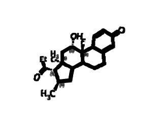 CCC(=O)[C@H]1[C@H](C)CC2C3CCC4=CC(=O)C=CC4[C@@]3(F)[C@@H](O)C[C@@]21C